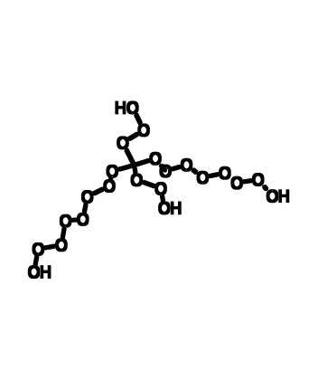 OOOOOOOOC(OOO)(OOO)OOOOOOOO